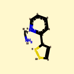 C1=CC(c2ccccn2)SS1.CC(C)N